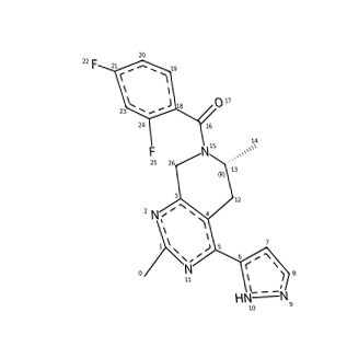 Cc1nc2c(c(-c3ccn[nH]3)n1)C[C@@H](C)N(C(=O)c1ccc(F)cc1F)C2